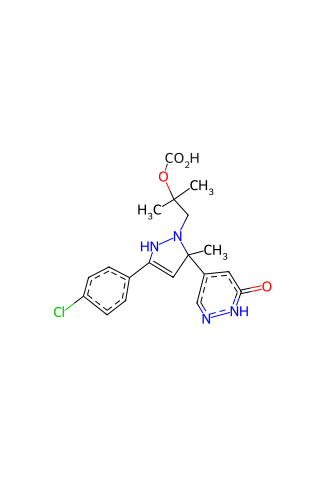 CC(C)(CN1NC(c2ccc(Cl)cc2)=CC1(C)c1cn[nH]c(=O)c1)OC(=O)O